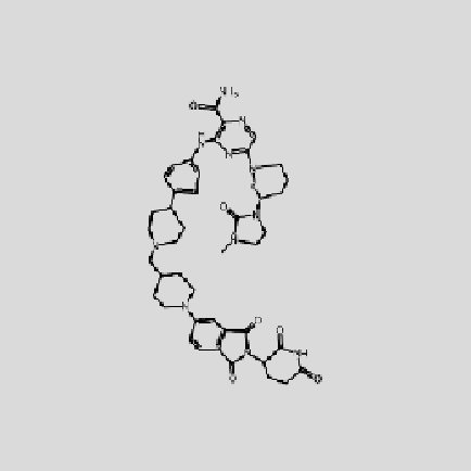 CN1CCN([C@@H]2CCCN(c3cnc(C(N)=O)c(Nc4ccc(C5CCN(CC6CCN(c7ccc8c(c7)C(=O)N(C7CCC(=O)NC7=O)C8=O)CC6)CC5)cc4)n3)C2)C1=O